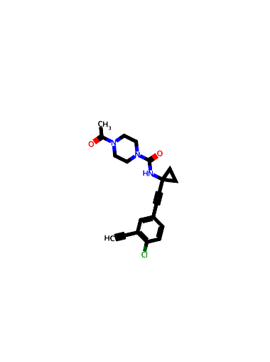 C#Cc1cc(C#CC2(NC(=O)N3CCN(C(C)=O)CC3)CC2)ccc1Cl